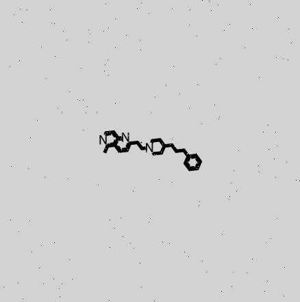 Cc1nccc2nc([CH]CN3CCC(CCCc4ccccc4)CC3)ccc12